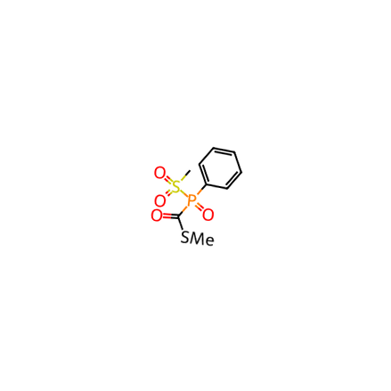 CSC(=O)P(=O)(c1ccccc1)S(C)(=O)=O